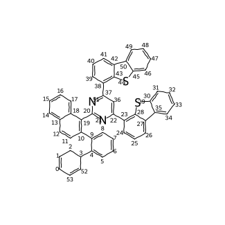 C1=CCC(c2ccccc2-c2ccc3ccccc3c2-c2nc(-c3cccc4c3sc3ccccc34)cc(-c3cccc4c3sc3ccccc34)n2)C=C1